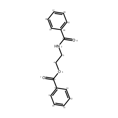 O=C(NCCOC(=O)c1ccccc1)c1ccccc1